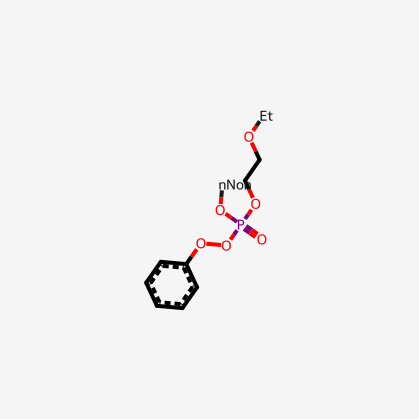 CCCCCCCCCOP(=O)(OCCOCC)OOc1ccccc1